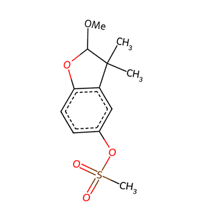 COC1Oc2ccc(OS(C)(=O)=O)cc2C1(C)C